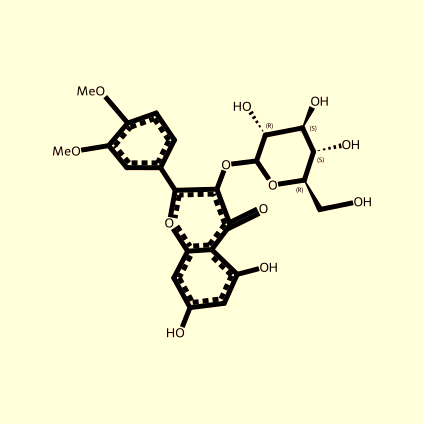 COc1ccc(-c2oc3cc(O)cc(O)c3c(=O)c2OC2O[C@H](CO)[C@@H](O)[C@H](O)[C@H]2O)cc1OC